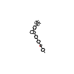 Cc1ccc(C23CC(c4ccc(-c5ccc(C6CCC7(c8ccc(B9OC(C)(C)C(C)(C)O9)cc8)CCCC6C7)cc5)cc4)(C2)C3)cc1